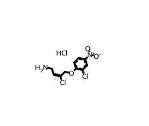 Cl.NC/C=C(/Cl)COc1ccc([N+](=O)[O-])cc1Cl